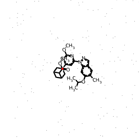 COC(=O)C1C2CC1CN(c1cc(-n3ncc4cc(C)c(OC(C)C)cc43)nc(OC)n1)C2